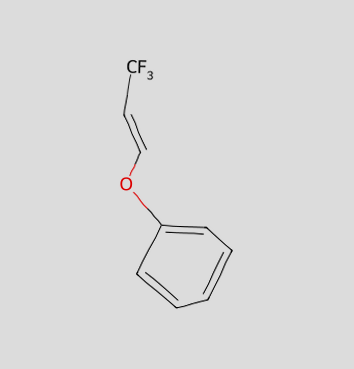 FC(F)(F)C=COc1ccccc1